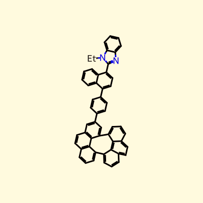 CCn1c(-c2ccc(-c3ccc(-c4cc5ccc6cccc7c8cccc9ccc%10cccc(c(c4)c5c67)c%10c98)cc3)c3ccccc23)nc2ccccc21